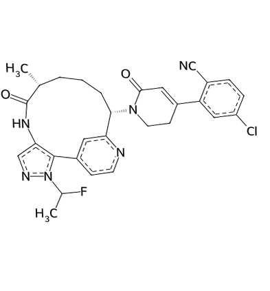 CC(F)n1ncc2c1-c1ccnc(c1)[C@@H](N1CCC(c3cc(Cl)ccc3C#N)=CC1=O)CCC[C@@H](C)C(=O)N2